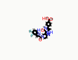 CN(C(=O)c1[nH]nc2c1CN(C(=O)c1cc3c(F)c(F)ccc3[nH]1)CC2)C1(c2ccc(C(=O)O)cc2)CC1